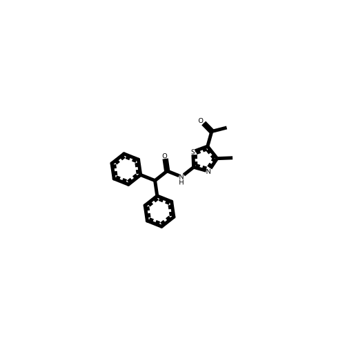 CC(=O)c1sc(NC(=O)C(c2ccccc2)c2ccccc2)nc1C